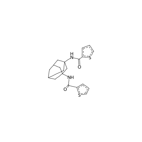 O=C(NC12CC3CC(C1)CC(NC(=O)c1cccs1)(C3)C2)c1cccs1